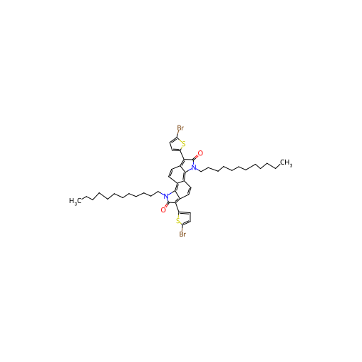 CCCCCCCCCCCCN1C(=O)C(c2ccc(Br)s2)=c2ccc3c4c(ccc3c21)=C(c1ccc(Br)s1)C(=O)N4CCCCCCCCCCCC